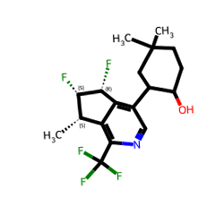 C[C@H]1c2c(C(F)(F)F)ncc(C3CC(C)(C)CCC3O)c2[C@@H](F)[C@H]1F